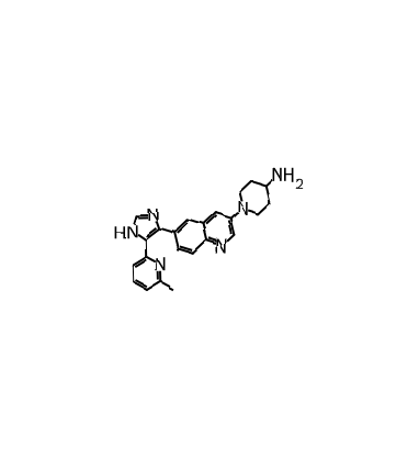 Cc1cccc(-c2[nH]cnc2-c2ccc3ncc(N4CCC(N)CC4)cc3c2)n1